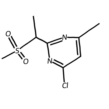 Cc1cc(Cl)nc(C(C)S(C)(=O)=O)n1